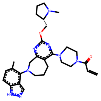 C=CC(=O)N1CCN(c2nc(OC[C@@H]3CCCN3C)nc3c2CCCN(c2c(C)ccc4[nH]ncc24)C3)CC1